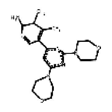 CC1C(C(F)(F)F)=C(c2cc(N3CCOCC3)nc(N3CCOCC3)n2)C=NC1N